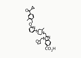 Cc1cc(C(=O)C2CC2)ccc1COc1cccc(N2CCN(Cc3nc4ccc(C(=O)O)cc4n3CC3CCO3)C(C)C2)n1